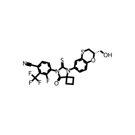 N#Cc1ccc(N2C(=O)C3(CCC3)N(c3ccc4c(c3)SC[C@H](CO)O4)C2=S)c(F)c1C(F)(F)F